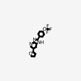 FC(F)(F)Oc1ccc(-c2nc3ncc(-c4ccco4)cc3[nH]2)cc1